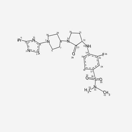 CC(C)c1nsc(N2CCC(N3CCC(Nc4ccc(S(=O)(=O)N(C)C)cc4F)C3=O)CC2)n1